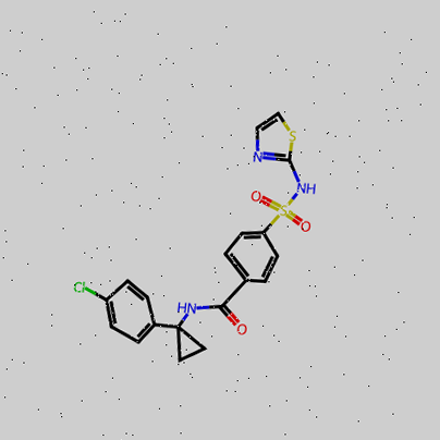 O=C(NC1(c2ccc(Cl)cc2)CC1)c1ccc(S(=O)(=O)Nc2nccs2)cc1